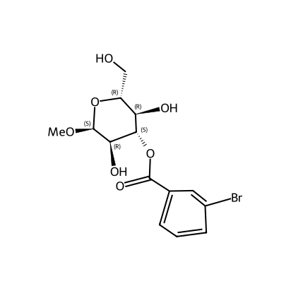 CO[C@H]1O[C@H](CO)[C@@H](O)[C@H](OC(=O)c2cccc(Br)c2)[C@H]1O